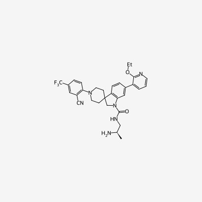 CCOc1ncccc1-c1ccc2c(c1)N(C(=O)NC[C@@H](C)N)CC21CCN(c2ccc(C(F)(F)F)cc2C#N)CC1